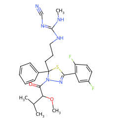 CNC(=NC#N)NCCCC1(c2ccccc2)SC(c2cc(F)ccc2F)=NN1C(=O)C(OC)C(C)C